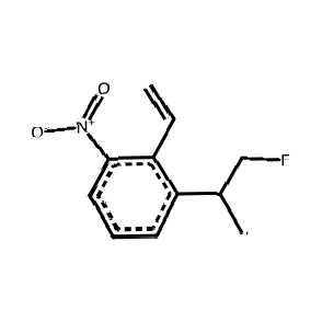 [CH2]C(CF)c1cccc([N+](=O)[O-])c1C=C